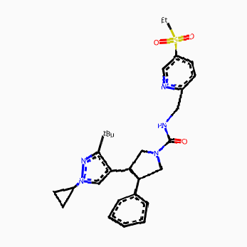 CCS(=O)(=O)c1ccc(CNC(=O)N2CC(c3ccccc3)C(c3cn(C4CC4)nc3C(C)(C)C)C2)nc1